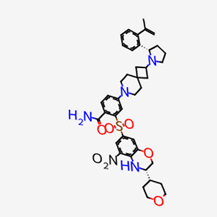 C=C(C)c1ccccc1[C@@H]1CCCN1C1CC2(CCN(c3ccc(C(N)=O)c(S(=O)(=O)c4cc5c(c([N+](=O)[O-])c4)N[C@@H](C4CCOCC4)CO5)c3)CC2)C1